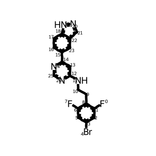 Fc1cc(Br)cc(F)c1CCNc1cc(-c2ccc3[nH]ncc3c2)ncn1